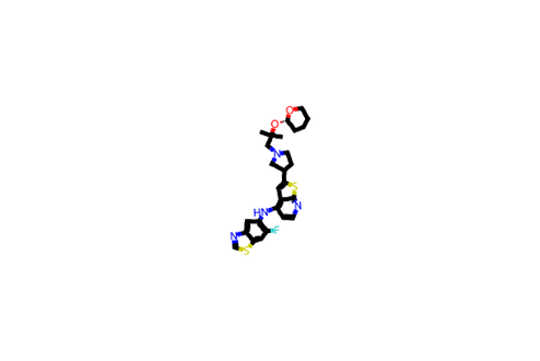 CC(C)(CN1CCC(c2cc3c(Nc4cc5ncsc5cc4F)ccnc3s2)C1)O[C@H]1CCCCO1